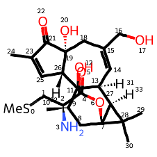 CSC[C@H](N)C(=O)O[C@@]12C[C@@H](C)[C@@]3(O)[C@@H](C=C(CO)C[C@]4(O)C(=O)C(C)=C[C@@H]34)[C@H]1C2(C)C